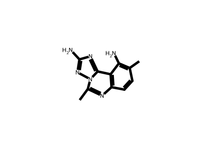 Cc1ccc2nc(C)n3nc(N)nc3c2c1N